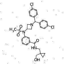 CS(=O)(=O)N(c1cccc(C(=O)NCC2(CO)CC2)c1)C1CN(C(c2ccc(Cl)cc2)c2ccc(Cl)cc2)C1